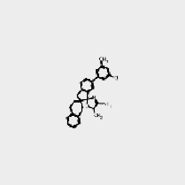 Cc1cc(Cl)cc(-c2ccc3c(c2)C2(N=C(N)C(C)O2)C2(CCc4ccccc4CC2)C3)c1